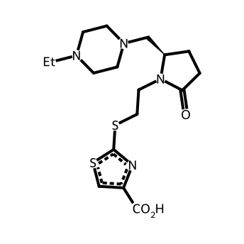 CCN1CCN(C[C@H]2CCC(=O)N2CCSc2nc(C(=O)O)cs2)CC1